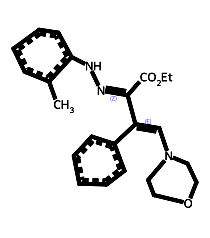 CCOC(=O)C(=N\Nc1ccccc1C)/C(=C/N1CCOCC1)c1ccccc1